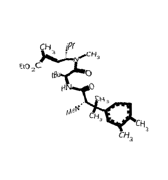 CCOC(=O)/C(C)=C/[C@H](C(C)C)N(C)C(=O)[C@@H](NC(=O)[C@@H](NC)C(C)(C)c1ccc(C)c(C)c1)C(C)(C)C